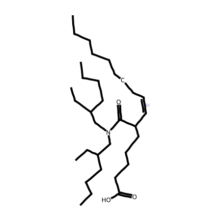 CCCCCCCC/C=C\C(CCCCC(=O)O)C(=O)N(CC(CC)CCCC)CC(CC)CCCC